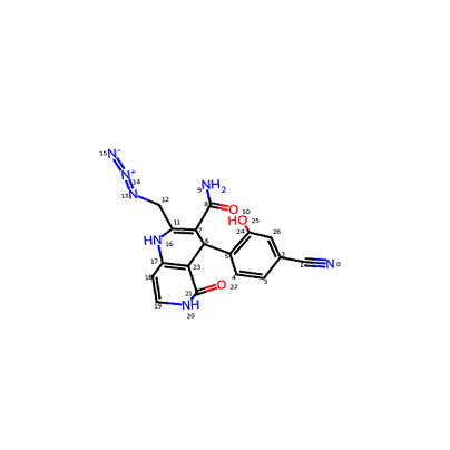 N#Cc1ccc(C2C(C(N)=O)=C(CN=[N+]=[N-])Nc3cc[nH]c(=O)c32)c(O)c1